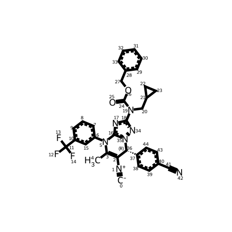 [C-]#[N+]C1=C(C)N(c2cccc(C(F)(F)F)c2)c2nc(N(CC3CC3)C(=O)OCc3ccccc3)nn2[C@@H]1c1ccc(C#N)cc1